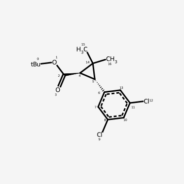 CC(C)(C)OC(=O)[C@@H]1[C@@H](c2cc(Cl)cc(Cl)c2)C1(C)C